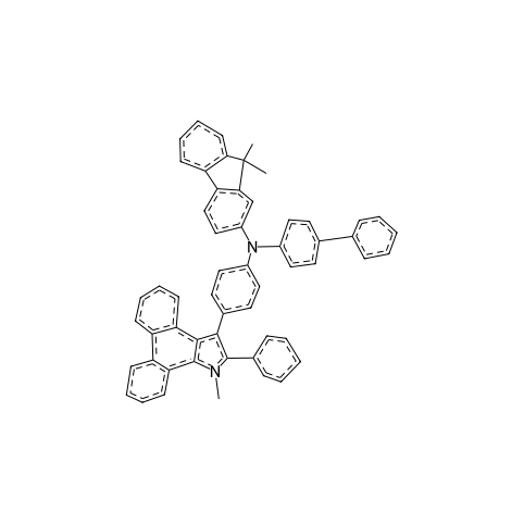 Cn1c(-c2ccccc2)c(-c2ccc(N(c3ccc(-c4ccccc4)cc3)c3ccc4c(c3)C(C)(C)c3ccccc3-4)cc2)c2c3ccccc3c3ccccc3c21